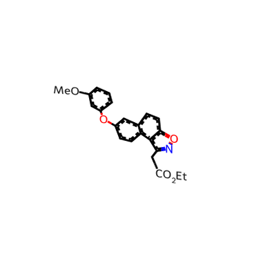 CCOC(=O)Cc1noc2ccc3cc(Oc4cccc(OC)c4)ccc3c12